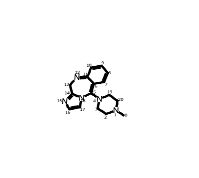 CN1CCN(C2=c3ccccc3=NCc3nccn32)CC1